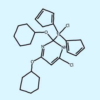 ClC1=CC(OC2CCCCC2)=N[C](OC2CCCCC2)([Ti]([Cl])([C]2=CC=CC2)[C]2=CC=CC2)N1